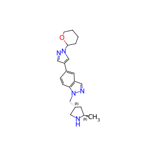 C[C@@H]1C[C@@H](Cn2ncc3cc(-c4cnn(C5CCCCO5)c4)ccc32)CN1